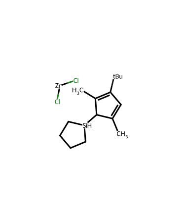 CC1=CC(C(C)(C)C)=C(C)C1[SiH]1CCCC1.[Cl][Zr][Cl]